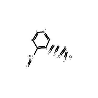 O=Cc1ccncc1.[C]=O.[C]=O.[C]=O.[C]=O.[C]=O.[Cr]